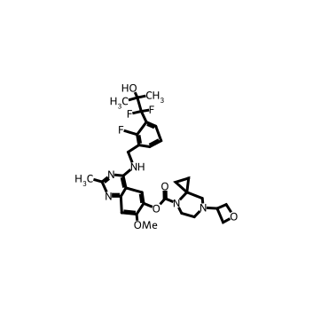 COc1cc2nc(C)nc(NCc3cccc(C(F)(F)C(C)(C)O)c3F)c2cc1OC(=O)N1CCN(C2COC2)CC12CC2